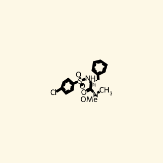 CON(C)C(=O)[C@@H](Cc1ccccc1)NS(=O)(=O)c1ccc(Cl)cc1